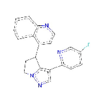 Fc1ccc(-c2cnn3c2C(c2ccnc4ccccc24)CC3)nc1